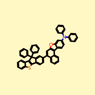 c1ccc(N(c2ccccc2)c2ccc3c(c2)oc2cc(-c4ccc5c(c4)C(c4ccccc4)(c4ccccc4)c4c-5sc5ccccc45)c4ccccc4c23)cc1